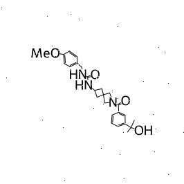 COc1ccc(CNC(=O)NC2CC3(C2)CN(C(=O)c2cccc(C(C)(C)O)c2)C3)cc1